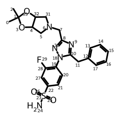 CC1(C)OC2CN(Cc3nc(Cc4ccccc4)n(-c4ccc(S(N)(=O)=O)cc4F)n3)CC2O1